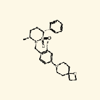 C[C@H]1CC[C@H](c2ccccc2)S(=O)(=O)N1Cc1ccc(N2CCC3(CCO3)CC2)cc1F